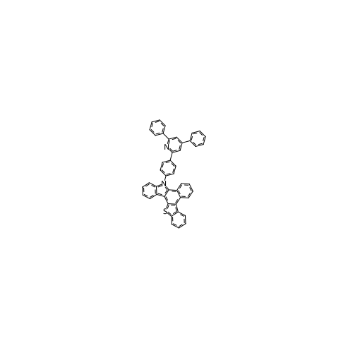 c1ccc(-c2cc(-c3ccccc3)nc(-c3ccc(-n4c5ccccc5c5c6sc7ccccc7c6c6ccccc6c54)cc3)c2)cc1